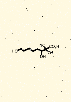 N#CC(C#N)(C(=O)O)C(O)CCCCCO